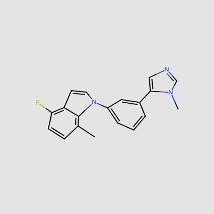 Cc1ccc(F)c2ccn(-c3cccc(-c4cncn4C)c3)c12